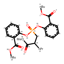 CCCCOC(=O)c1ccccc1OP(=O)(CC(CCC)C(=O)OC)Oc1ccccc1C(=O)OCCCC